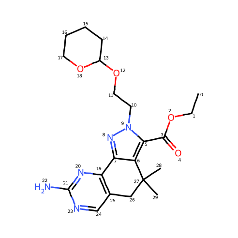 CCOC(=O)c1c2c(nn1CCOC1CCCCO1)-c1nc(N)ncc1CC2(C)C